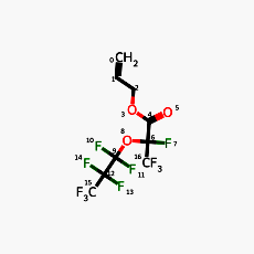 C=CCOC(=O)C(F)(OC(F)(F)C(F)(F)C(F)(F)F)C(F)(F)F